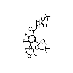 C[C@@H]1CN(c2c(C3OCC(C)(C)CO3)cc(C(=O)CNC(=O)OC(C)(C)C)c(F)c2F)C[C@@H](C)O1